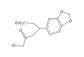 CCOC(=O)CC(CC(=O)CCl)c1ccc2c(c1)OCO2